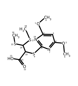 COc1cc(OC)nc(SC(C(=O)O)C(SC)SC)n1